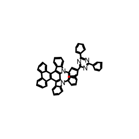 c1ccc(-c2nc(-c3ccccc3)nc(-c3cccc(-n4c5ccccc5c5c6c7ccccc7c7ccccc7c6c6c7ccccc7n(-c7ccccc7)c6c54)c3)n2)cc1